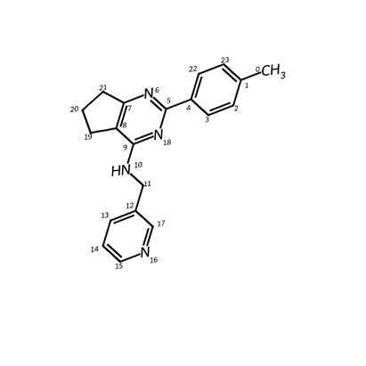 Cc1ccc(-c2nc3c(c(NCc4cccnc4)n2)CCC3)cc1